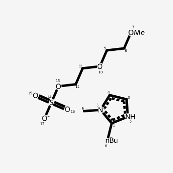 CCCCc1[nH]cc[n+]1C.COCCOCCOS(=O)(=O)[O-]